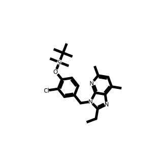 CCc1nc2c(C)cc(C)nc2n1Cc1ccc(O[Si](C)(C)C(C)(C)C)c(Cl)c1